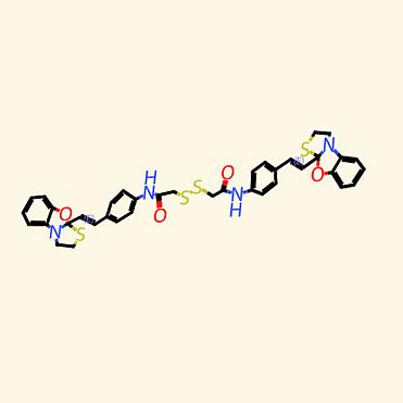 O=C(CSSCC(=O)Nc1ccc(/C=C/C23Oc4ccccc4N2CCS3)cc1)Nc1ccc(/C=C/C23Oc4ccccc4N2CCS3)cc1